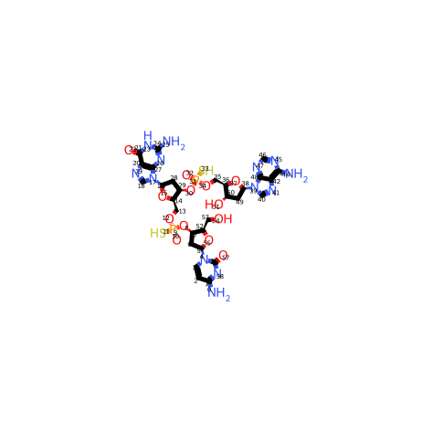 Nc1ccn([C@H]2C[C@@H](OP(=O)(S)OC[C@H]3O[C@@H](n4cnc5c(=O)[nH]c(N)nc54)C[C@H]3OP(=O)(S)OC[C@H]3O[C@@H](n4cnc5c(N)ncnc54)C[C@H]3O)[C@@H](CO)O2)c(=O)n1